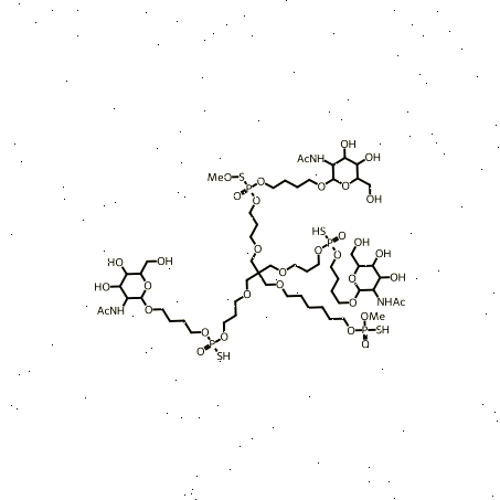 COSP(=O)(OCCCCOC1OC(CO)C(O)C(O)C1NC(C)=O)OCCCOCC(COCCCCCCOP(=O)(S)OC)(COCCCOP(=O)(S)OCCCCOC1OC(CO)C(O)C(O)C1NC(C)=O)COCCCOP(=O)(S)OCCCCOC1OC(CO)C(O)C(O)C1NC(C)=O